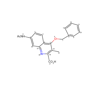 CC(=O)Nc1ccc2c(OCc3ccccc3)c(C)c(C(=O)O)nc2c1